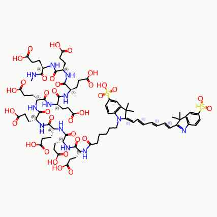 CNC(=O)[C@@H](CCC(=O)O)NC(=O)[C@@H](CCC(=O)O)NC(=O)[C@@H](CCC(=O)O)NC(=O)[C@@H](CCC(=O)O)NC(=O)[C@@H](CCC(=O)O)NC(=O)[C@@H](CCC(=O)O)NC(=O)[C@@H](CCC(=O)O)NC(=O)[C@@H](CCC(=O)O)NC(=O)[C@@H](CCC(=O)O)NC(=O)CCCCCN1/C(=C/C=C/C=C/C=C/C2=Nc3ccc([SH](=O)=O)cc3C2(C)C)C(C)(C)c2cc(S(=O)(=O)O)ccc21